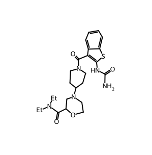 CCN(CC)C(=O)C1CN(C2CCN(C(=O)c3c(NC(N)=O)sc4ccccc34)CC2)CCO1